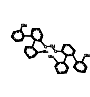 CC(C)(C)c1ccccc1-c1cccc(OPOc2cccc(-c3ccccc3C(C)(C)C)c2-c2ccccc2C(C)(C)C)c1-c1ccccc1C(C)(C)C